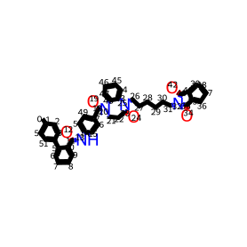 Cc1ccc(-c2ccccc2C(=O)Nc2ccc(C(=O)N3CCC(=O)N(CCCCCCN4C(=O)c5ccccc5C4=O)c4ccccc43)cc2)cc1